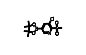 CC1(C)OB(c2cnc(S(C)(=O)=O)c(Cl)c2)OC1(C)C